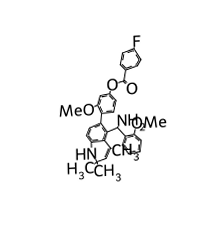 COc1cc(OC(=O)c2ccc(F)cc2)ccc1-c1ccc2c(c1C(N)c1ccccc1OC)C(C)=CC(C)(C)N2